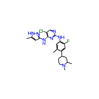 Cc1cc(Nc2nc(Nc3cc(C)c(C4CCN(C)C(C)C4)cc3F)ncc2Cl)n[nH]1